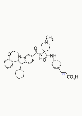 CN1CCC(NC(=O)c2ccc3c(C4CCCCC4)c4n(c3c2)CCOc2ccccc2-4)(C(=O)Nc2ccc(/C=C/C(=O)O)cc2)CC1